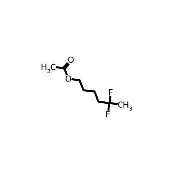 CC(=O)OCCCCC(C)(F)F